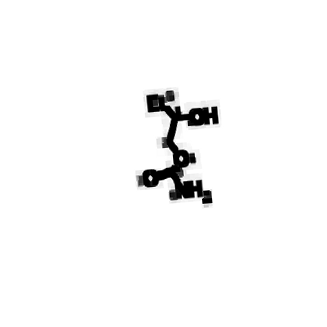 CCC(O)COC(N)=O